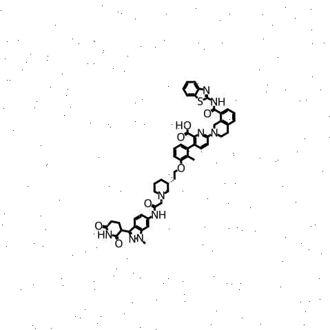 Cc1c(OCC[C@H]2CCCN(CC(=O)Nc3ccc4c(C5CCC(=O)NC5=O)nn(C)c4c3)C2)cccc1-c1ccc(N2CCc3cccc(C(=O)Nc4nc5ccccc5s4)c3C2)nc1C(=O)O